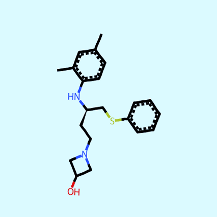 Cc1ccc(N[C@H](CCN2CC(O)C2)CSc2ccccc2)c(C)c1